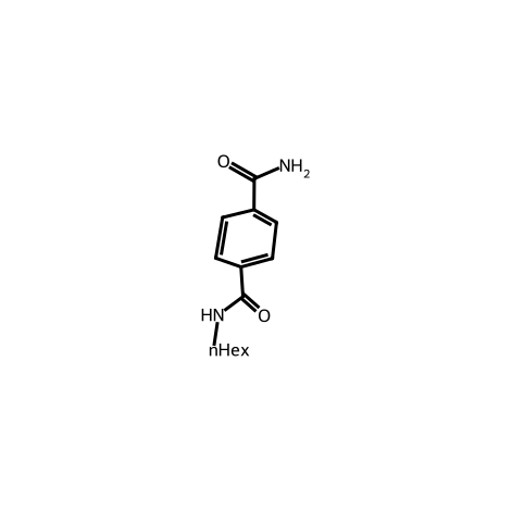 CCCCCCNC(=O)c1ccc(C(N)=O)cc1